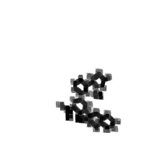 CCC1=C(c2cccc(-c3cc(NI)c(N)c(-c4ccc5ccccc5c4)c3)c2)C=CC(C)C1